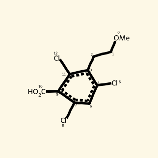 COCCc1c(Cl)cc(Cl)c(C(=O)O)c1Cl